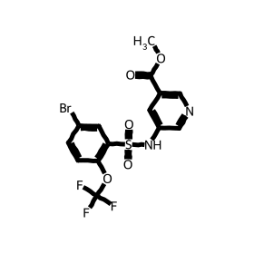 COC(=O)c1cncc(NS(=O)(=O)c2cc(Br)ccc2OC(F)(F)F)c1